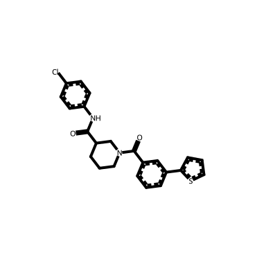 O=C(Nc1ccc(Cl)cc1)C1CCCN(C(=O)c2cccc(-c3cccs3)c2)C1